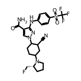 N#CC1CC(N2CCC[C@@H]2CF)CCC1n1cc(C(N)=O)c(Nc2ccc(S(=O)(=O)C(F)(F)F)cc2)n1